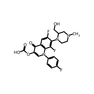 CN1CCN(c2c(F)cc3c(=O)c(OC(=O)O)cn(-c4ccc(F)cc4)c3c2F)C(CO)C1